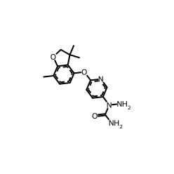 Cc1ccc(Oc2ccc(N(N)C(N)=O)cn2)c2c1OCC2(C)C